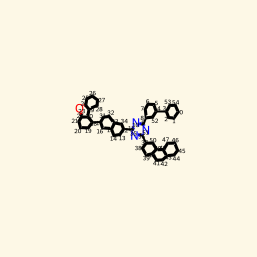 c1ccc(-c2cccc(-c3nc(-c4ccc5cc(-c6cccc7oc8ccccc8c67)ccc5c4)nc(-c4ccc5ccc6ccccc6c5c4)n3)c2)cc1